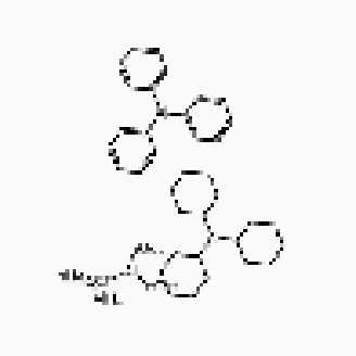 C1CC[CH]([Al]([CH]2CCCCC2)[CH]2CCCCC2)CC1.CCCCCCC[CH2][Al]([CH2]CCCCCCC)[CH2]CCCCCCC.CCCCC[CH2][AlH2].c1cc[c]([Al]([c]2ccccc2)[c]2ccccc2)cc1